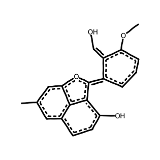 COc1cccc(=c2/oc3cc(C)cc4ccc(O)c2c43)/c1=C/O